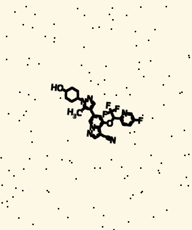 Cc1c(-c2cc(OC(c3ccc(F)cn3)C(F)(F)F)c3c(C#N)cnn3c2)cnn1C1CCC(O)CC1